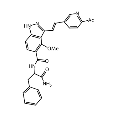 COc1c(C(=O)NC(Cc2ccccc2)C(N)=O)ccc2[nH]nc(/C=C/c3ccc(C(C)=O)nc3)c12